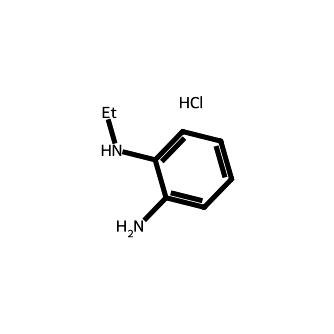 CCNc1ccccc1N.Cl